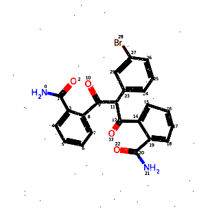 NC(=O)c1ccccc1C(=O)C(C(=O)c1ccccc1C(N)=O)c1cccc(Br)c1